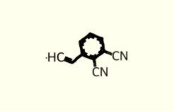 [CH]=Cc1cccc(C#N)c1C#N